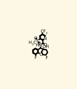 CS(=O)(=O)c1cc(C(F)(F)F)cnc1C(=O)NC(c1cccc(F)c1Cl)[C@]1(O)CC[C@@H](F)CC1